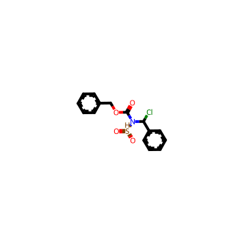 O=C(OCc1ccccc1)N(C(Cl)c1ccccc1)[SH](=O)=O